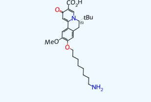 COc1cc2c(cc1OCCCCCCCCN)C[C@@H](C(C)(C)C)n1cc(C(=O)O)c(=O)cc1-2